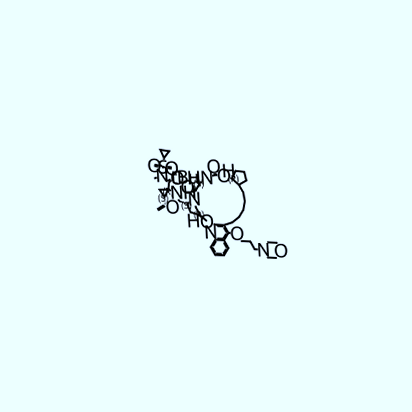 C=C[C@@H]1C[C@]1(NC(=O)[C@@H]1C[C@@H]2CN1C(=O)[C@H](C(C)(C)C)NC(=O)O[C@@H]1CCCC1CCCCCc1c(nc3ccccc3c1OCCCN1CCOCC1)O2)C(=O)N(C)S(=O)(=O)C1CC1